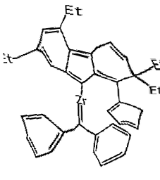 CCc1cc(CC)c2c(c1)=[C]([Zr]=[C](c1ccccc1)c1ccccc1)C1=C(C3=CC=CC3)C(CC)(CC)C=CC=21